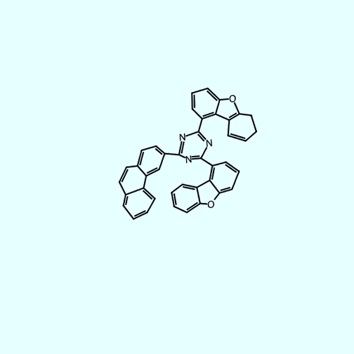 C1=Cc2c(oc3cccc(-c4nc(-c5ccc6ccc7ccccc7c6c5)nc(-c5cccc6oc7ccccc7c56)n4)c23)CC1